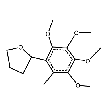 COc1c(C)c(C2CCCO2)c(OC)c(OC)c1OC